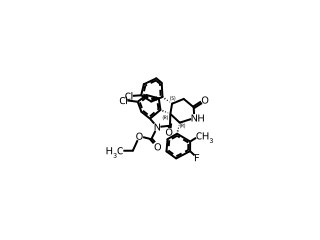 CCOC(=O)N1C(=O)[C@]2(c3ccc(Cl)cc31)[C@@H](c1cccc(F)c1C)NC(=O)C[C@H]2c1cccc(Cl)c1